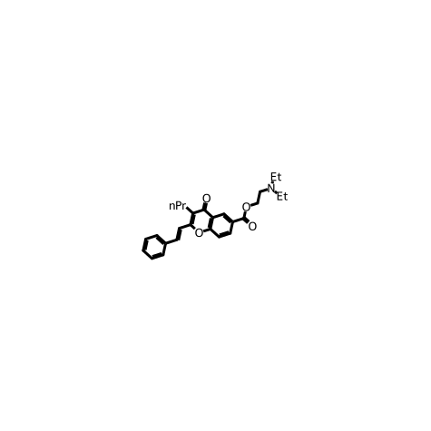 CCCc1c(C=Cc2ccccc2)oc2ccc(C(=O)OCCN(CC)CC)cc2c1=O